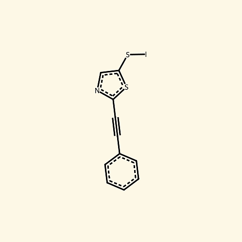 ISc1cnc(C#Cc2ccccc2)s1